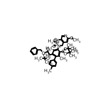 COc1cc(CN(c2c(C)c([C@H](OC(C)(C)C)C(=O)OCc3ccccc3)c(-c3ccc(C)cc3)c(C)c2B2OC(C)(C)C(C)(C)O2)S(C)(=O)=O)c(Br)cn1